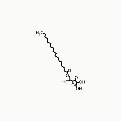 CCCCCCCCCCCCCCCCCC(=O)OCC(O)C1OC(O)=C(O)C1=O